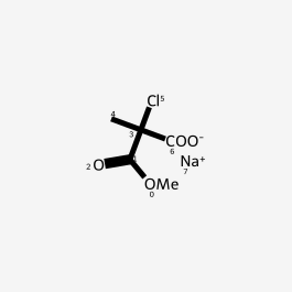 COC(=O)C(C)(Cl)C(=O)[O-].[Na+]